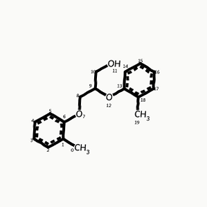 Cc1ccccc1OCC(CO)Oc1ccccc1C